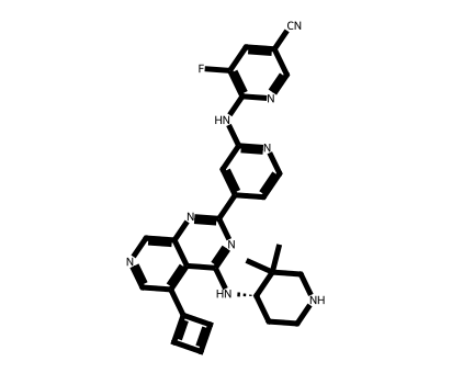 CC1(C)CNCC[C@@H]1Nc1nc(-c2ccnc(Nc3ncc(C#N)cc3F)c2)nc2cncc(C3=CC=C3)c12